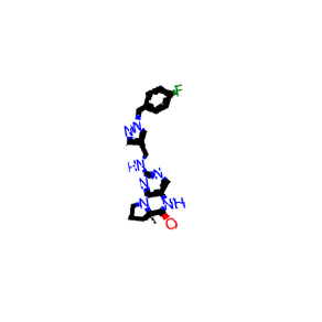 C[C@]12CCCN1c1nc(NCc3cnn(Cc4ccc(F)cc4)c3)ncc1NC2=O